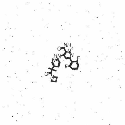 CC(C)(C(=O)N1CCC1)c1ccc(Nc2cc(-c3c(F)cccc3F)nnc2C(N)=O)nc1